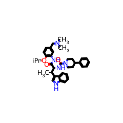 CC(C)Oc1ccc(CN(C)C)cc1NC(=O)[C@H](NC(=O)N1CCC(c2ccccc2)CC1)[C@H](C)c1c[nH]c2ccccc12